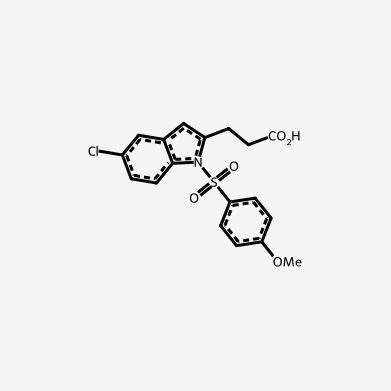 COc1ccc(S(=O)(=O)n2c(CCC(=O)O)cc3cc(Cl)ccc32)cc1